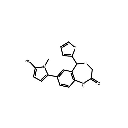 Cn1c(C#N)ccc1-c1ccc2c(c1)C(c1cccs1)OCC(=O)N2